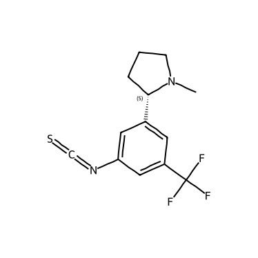 CN1CCC[C@H]1c1cc(N=C=S)cc(C(F)(F)F)c1